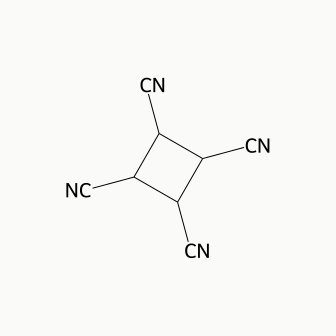 N#CC1C(C#N)C(C#N)C1C#N